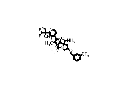 Cc1nc(C2(C(N)=O)CC(OCc3cccc(C(F)(F)F)c3)CN2C(N)=O)sc1-c1ccnc(C(C)(CF)C(F)F)c1